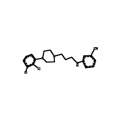 N#Cc1cccc(NCCCN2CCN(c3cccc(Cl)c3Cl)CC2)c1